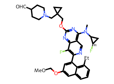 CCc1cccc2cc(OCOC)cc(-c3ncc4c(N(C)C5C[C@H]5F)nc(OCC5(CN6CCC(C=O)CC6)CC5)nc4c3F)c12